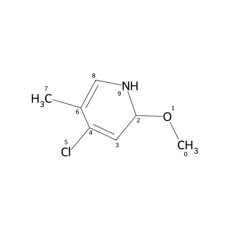 COC1C=C(Cl)C(C)=CN1